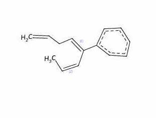 C=CC/C=C(\C=C/C)c1ccccc1